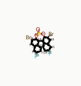 O=S1Oc2c(Br)cc3cc(F)ccc3c2-c2c(c(Br)cc3cc(F)ccc23)O1